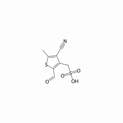 Cc1sc(C=O)c(CS(=O)(=O)O)c1C#N